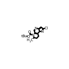 CC1CCC2=C(C=NC3=CC(Cl)=NC32)N1C(=O)OC(C)(C)C